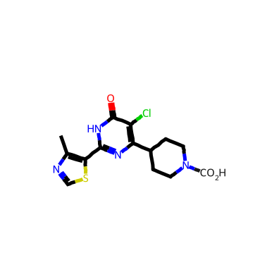 Cc1ncsc1-c1nc(C2CCN(C(=O)O)CC2)c(Cl)c(=O)[nH]1